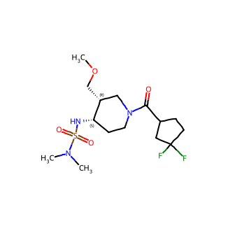 COC[C@@H]1CN(C(=O)C2CCC(F)(F)C2)CC[C@@H]1NS(=O)(=O)N(C)C